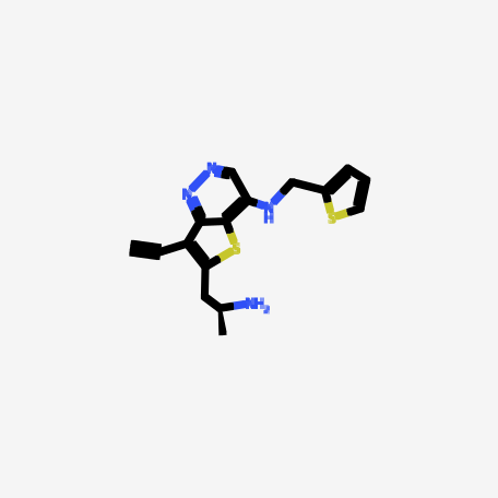 C#Cc1c(C[C@H](C)N)sc2c(NCc3cccs3)cnnc12